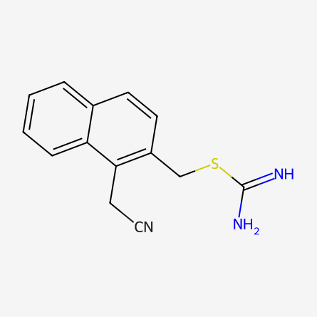 N#CCc1c(CSC(=N)N)ccc2ccccc12